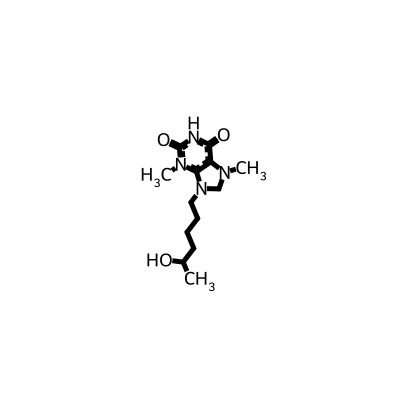 CC(O)CCCCN1CN(C)c2c1n(C)c(=O)[nH]c2=O